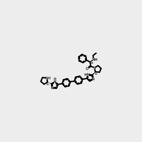 CCN[C@@H](C(=O)N1CCC[C@H]1c1ncc(-c2ccc(-c3ccc(-c4cnc([C@@H]5CCCN5)[nH]4)cc3)cc2)[nH]1)c1ccccc1